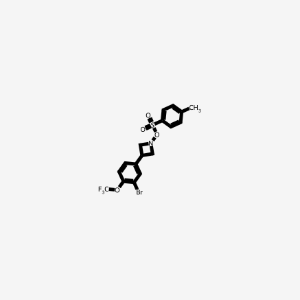 Cc1ccc(S(=O)(=O)ON2CC(c3ccc(OC(F)(F)F)c(Br)c3)C2)cc1